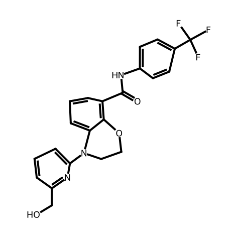 O=C(Nc1ccc(C(F)(F)F)cc1)c1cccc2c1OCCN2c1cccc(CO)n1